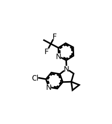 CC(F)(F)c1cccc(N2CC3(CC3)c3cnc(Cl)cc32)n1